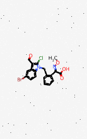 CON=C(C(=O)O)c1ccccc1Cn1c(Cl)c(C=O)c2cc(Br)ccc21